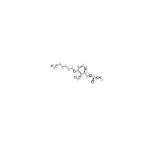 CCCCCCOc1ccnc(COC(C)=O)c1C